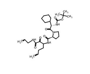 C=CCCC(NC(=O)[C@@H]1CCCN1C(=O)[C@@H](NC(=O)OC(C)(C)C)C1CCCCC1)C(=O)C(=O)NCC=C